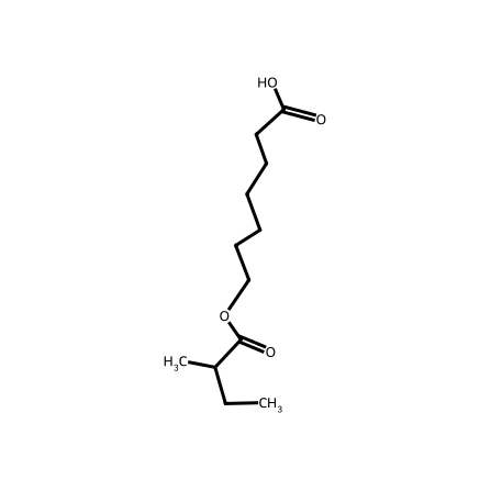 CCC(C)C(=O)OCCCCCCC(=O)O